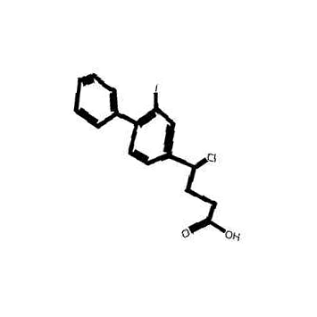 O=C(O)CCC(Cl)c1ccc(-c2ccccc2)c(I)c1